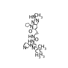 CNc1ncc2cc(C3CC3NC(=O)Nc3cc(C(C)(C)C)nn3-c3cccnc3)c(=O)n(C3CCCC3)c2n1